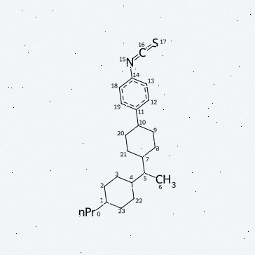 CCCC1CCC(C(C)C2CCC(c3ccc(N=C=S)cc3)CC2)CC1